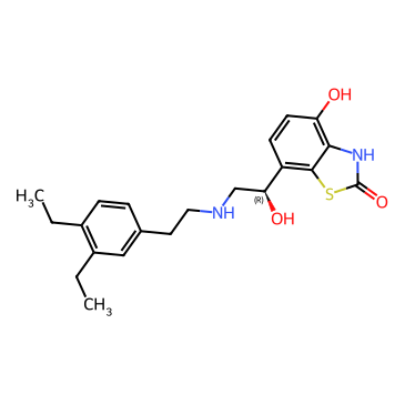 CCc1ccc(CCNC[C@H](O)c2ccc(O)c3[nH]c(=O)sc23)cc1CC